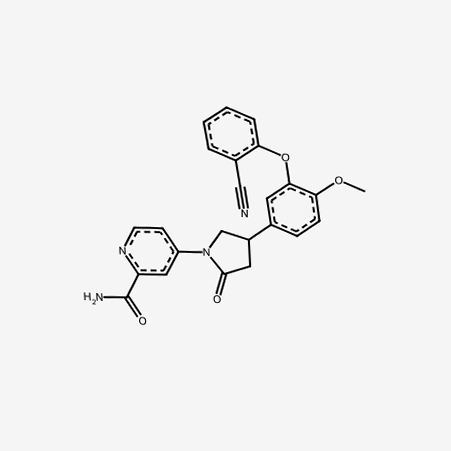 COc1ccc(C2CC(=O)N(c3ccnc(C(N)=O)c3)C2)cc1Oc1ccccc1C#N